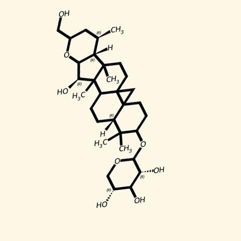 C[C@@H]1CC(CO)OC2[C@H]1C1(C)CCC34CC35CCC(OC3OC[C@@H](O)C(O)[C@H]3O)C(C)(C)[C@@H]5CCC4C1(C)[C@H]2O